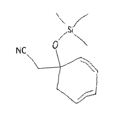 C[Si](C)(C)OC1(CC#N)C=CC=CC1